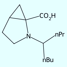 CCCCC(CCC)N1CCC2CC21C(=O)O